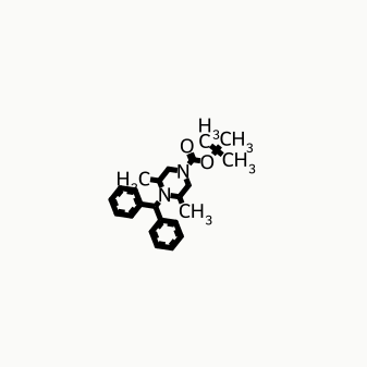 CC1CN(C(=O)OC(C)(C)C)CC(C)N1C(c1ccccc1)c1ccccc1